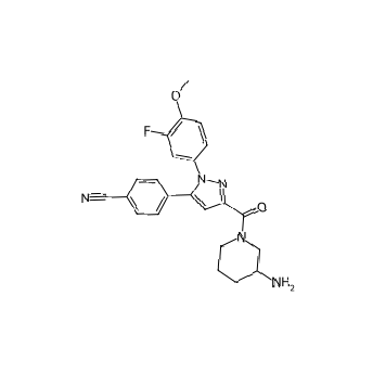 COc1ccc(-n2nc(C(=O)N3CCCC(N)C3)cc2-c2ccc(C#N)cc2)cc1F